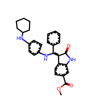 COC(=O)c1ccc2c(c1)NC(=O)C2=C(Nc1ccc(NC2CCCCC2)cc1)c1ccccc1